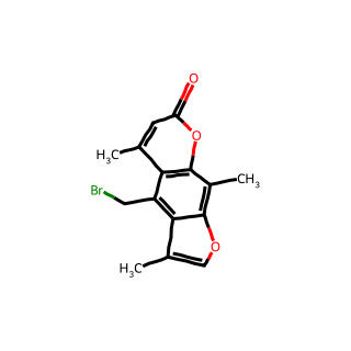 Cc1c2occ(C)c2c(CBr)c2c(C)cc(=O)oc12